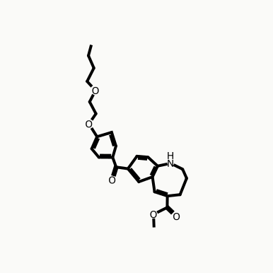 CCCCOCCOc1ccc(C(=O)c2ccc3c(c2)C=C(C(=O)OC)CCCN3)cc1